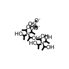 CC(O)[N+](C(C)O)(C(C)O)C(C)O.CC(O)[N+](C(C)O)(C(C)O)C(C)O.O=[Si]([O-])[O-]